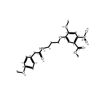 COC(=O)c1cc(OCCCNC(=O)Cc2ccc(OC)cc2)c(OC)cc1[N+](=O)[O-]